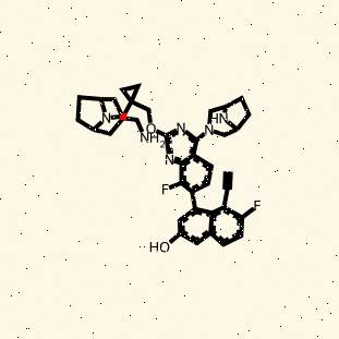 C#Cc1c(F)ccc2cc(O)cc(-c3ccc4c(N5CC6CCC(C5)N6)nc(OCC5(CN6C7CCC6CC(CN)C7)CC5)nc4c3F)c12